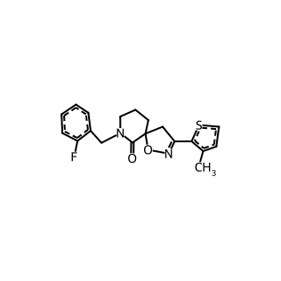 Cc1ccsc1C1=NOC2(CCCN(Cc3ccccc3F)C2=O)C1